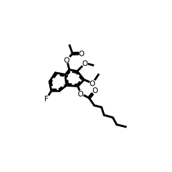 CCCCCCC(=O)Oc1c(OC)c(OC)c(OC(C)=O)c2ccc(F)cc12